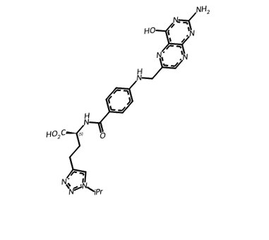 CC(C)n1cc(CC[C@H](NC(=O)c2ccc(NCc3cnc4nc(N)nc(O)c4n3)cc2)C(=O)O)nn1